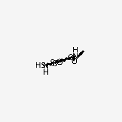 CC#CCNC(=O)OCCCCOCSSCCNS